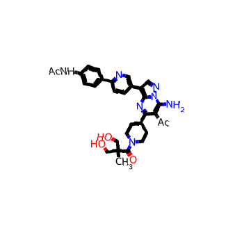 CC(=O)Nc1ccc(-c2ccc(-c3cnn4c(N)c(C(C)=O)c(C5CCN(C(=O)C(C)(CO)CO)CC5)nc34)cn2)cc1